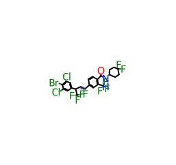 O=C(NC1CCC(F)(F)CC1)c1ccc(/C(F)=C/C(c2cc(Cl)c(Br)c(Cl)c2)C(F)(F)F)cc1C(F)(F)F